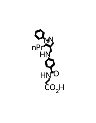 CCCc1c(CNc2ccc(C(=O)NCCC(=O)O)cc2)cnn1-c1ccccc1